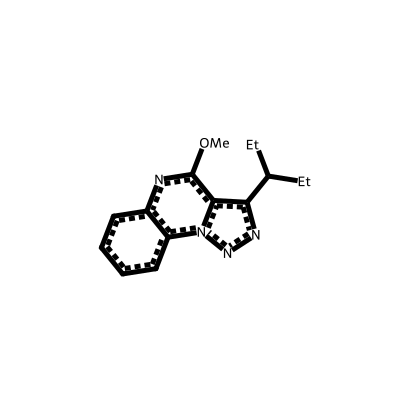 CCC(CC)c1nnn2c1c(OC)nc1ccccc12